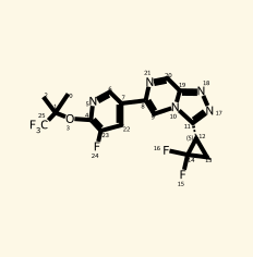 CC(C)(Oc1ncc(-c2cn3c([C@@H]4CC4(F)F)nnc3cn2)cc1F)C(F)(F)F